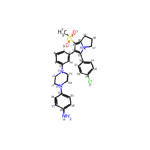 CS(=O)(=O)c1c(-c2cccc(N3CCN(c4ccc(N)cc4)CC3)c2)c(-c2ccc(Cl)cc2)n2c1CCC2